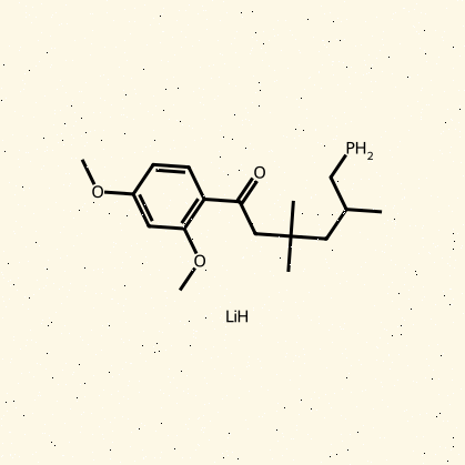 COc1ccc(C(=O)CC(C)(C)CC(C)CP)c(OC)c1.[LiH]